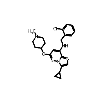 CN1CCC(Oc2cc(NCc3ccccc3Cl)c3ncc(C4CC4)n3n2)CC1